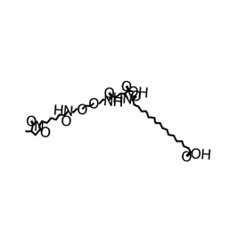 CC1CC(=O)N(CCCCCC(=O)NCCOCCOCCNC(=O)CCC(NC(=O)CCCCCCCCCCCCCCCCC(=O)O)C(=O)O)C1=O